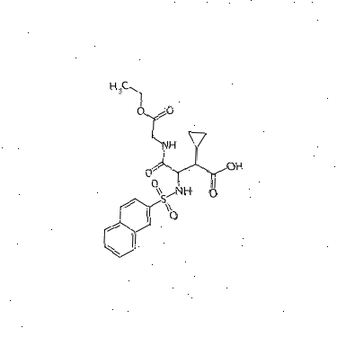 CCOC(=O)CNC(=O)C(NS(=O)(=O)c1ccc2ccccc2c1)C(C(=O)O)C1CC1